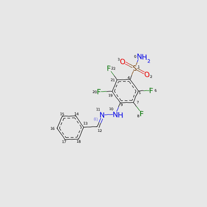 NS(=O)(=O)c1c(F)c(F)c(N/N=C/c2ccccc2)c(F)c1F